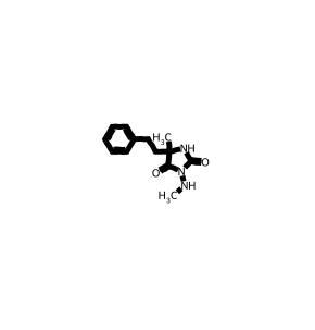 CNN1C(=O)NC(C)(CCc2ccccc2)C1=O